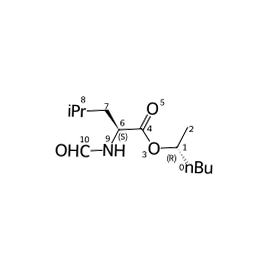 CCCC[C@@H](C)OC(=O)[C@H](CC(C)C)NC=O